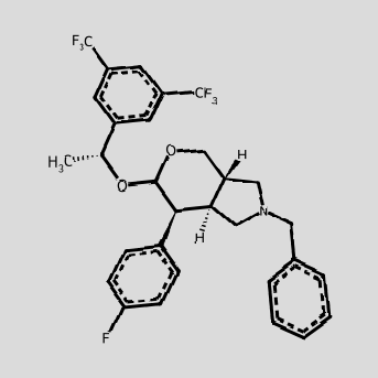 C[C@@H](OC1OC[C@@H]2CN(Cc3ccccc3)C[C@H]2[C@H]1c1ccc(F)cc1)c1cc(C(F)(F)F)cc(C(F)(F)F)c1